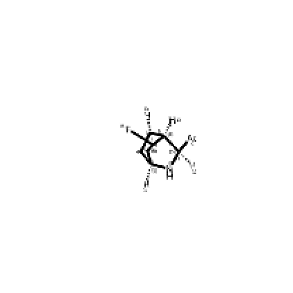 CC(=O)[C@H]1N[C@H]2CC[C@@H]1[C@H](F)C2